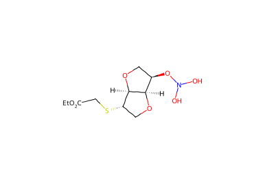 CCOC(=O)CS[C@H]1CO[C@H]2[C@@H]1OC[C@H]2ON(O)O